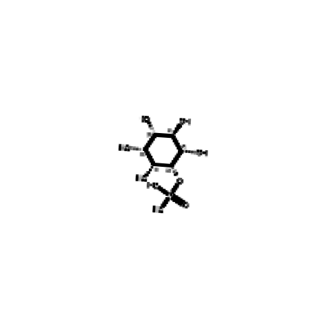 O=P(O)(O)O[C@@H]1[C@H](O)[C@H](O)[C@H](O)[C@@H](O)[C@@H]1O